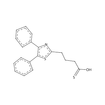 OC(=S)CCCc1nc(-c2ccccc2)c(-c2ccccc2)s1